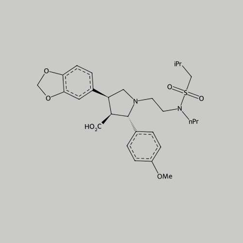 CCCN(CCN1C[C@H](c2ccc3c(c2)OCO3)[C@H](C(=O)O)[C@H]1c1ccc(OC)cc1)S(=O)(=O)CC(C)C